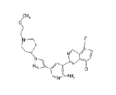 COCCN1CCC(n2cc(-c3cnc(N)c(-c4cc5c(Cl)ccc(F)c5cn4)c3)cn2)CC1